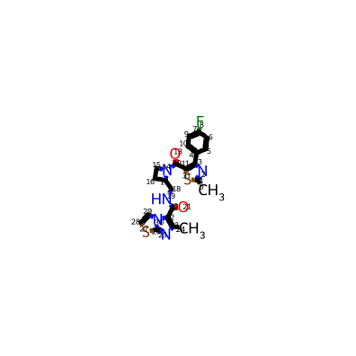 Cc1nc(-c2ccc(F)cc2)c(C(=O)N2CCC2CNC(=O)c2c(C)nc3sccn23)s1